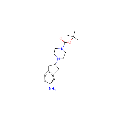 CC(C)(C)OC(=O)N1CCN(C2Cc3ccc(N)cc3C2)CC1